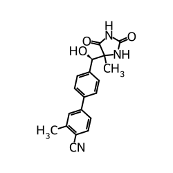 Cc1cc(-c2ccc([C@@H](O)C3(C)NC(=O)NC3=O)cc2)ccc1C#N